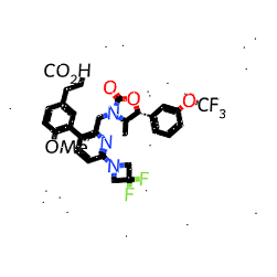 COc1ccc(CCC(=O)O)cc1-c1ccc(N2CC(F)(F)C2)nc1CN1C(=O)O[C@H](c2cccc(OC(F)(F)F)c2)C1C